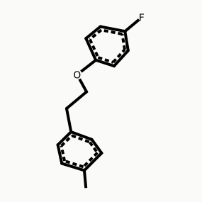 Cc1ccc(CCOc2ccc(F)cc2)cc1